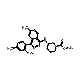 COc1cc(C)ccc1-c1nnc(N[C@@H]2CCCN(C(=O)OC(C)(C)C)C2)c2ccc(C)cc12